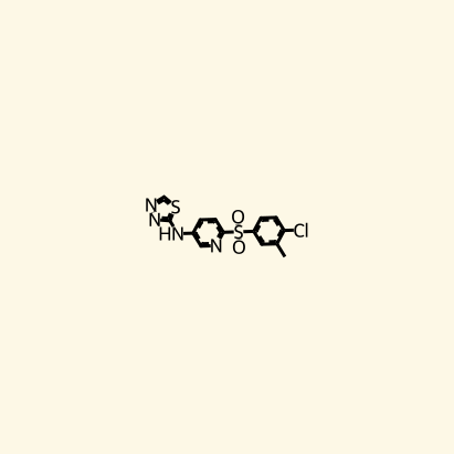 Cc1cc(S(=O)(=O)c2ccc(Nc3nncs3)cn2)ccc1Cl